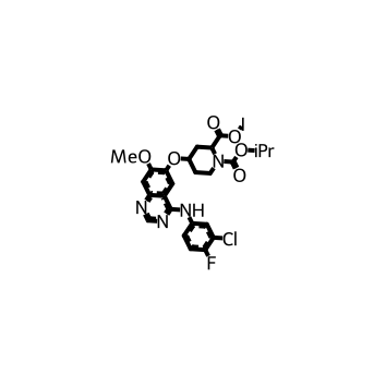 COc1cc2ncnc(Nc3ccc(F)c(Cl)c3)c2cc1OC1CCN(C(=O)OC(C)C)C(C(=O)OI)C1